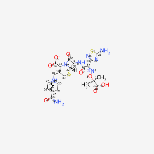 CC(C)(O/N=C(\C(=O)N[C@@H]1C(=O)N2C(C(=O)[O-])=C(C[N+]34CCC(C(N)=O)(CC3)CC4)CS[C@@H]12)c1nsc(N)n1)C(=O)O